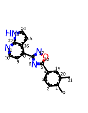 Cc1ccc(-c2nc(-c3ccnc4[nH]ccc34)no2)cc1C